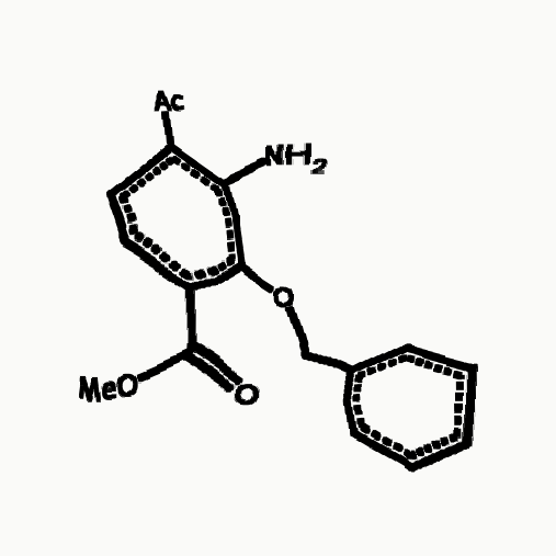 COC(=O)c1ccc(C(C)=O)c(N)c1OCc1ccccc1